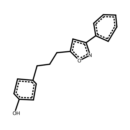 Oc1ccc(CCCc2cc(-c3ccccc3)no2)cc1